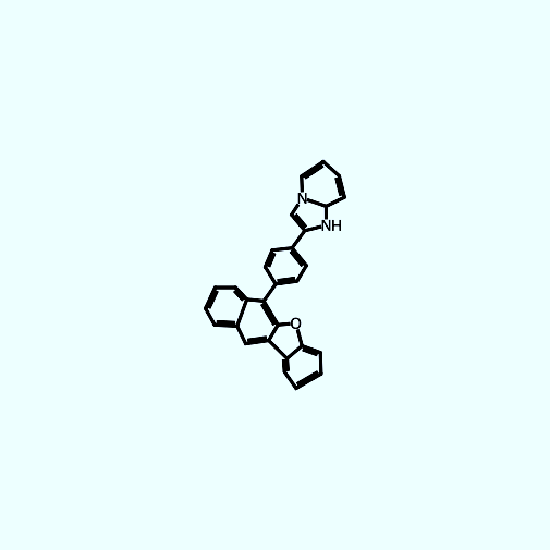 C1=CC2NC(c3ccc(-c4c5ccccc5cc5c4oc4ccccc45)cc3)=CN2C=C1